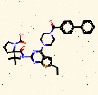 CCc1cc2c(N3CCN(C(=O)c4ccc(-c5ccccc5)cc4)CC3)nc(NC(=O)[C@]3(C(C)(C)C)CCCN3C(=O)O)nc2s1